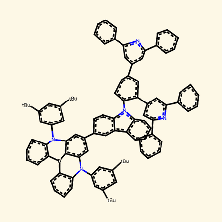 CC(C)(C)c1cc(N2c3ccccc3B3c4ccccc4N(c4cc(C(C)(C)C)cc(C(C)(C)C)c4)c4cc(-c5ccc6c(c5)c5ccccc5n6-c5ccc(-c6cc(-c7ccccc7)nc(-c7ccccc7)c6)cc5-c5cc(-c6ccccc6)nc(-c6ccccc6)c5)cc2c43)cc(C(C)(C)C)c1